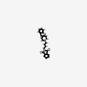 O=C1c2ccccc2C(=O)N1CCCCN1CCC2(CC1)Cc1ccccc1O2